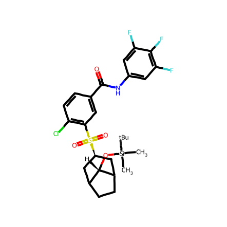 CC(C)(C)[Si](C)(C)O[C@H]1C2CCC1C[C@H](S(=O)(=O)c1cc(C(=O)Nc3cc(F)c(F)c(F)c3)ccc1Cl)C2